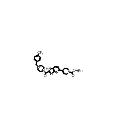 CC(C)(C)OC(=O)N1CC=C(c2ccc3[nH]c(C(=O)N4CCN(Cc5ccc(C(F)(F)F)cc5)CC4)nc3n2)CC1